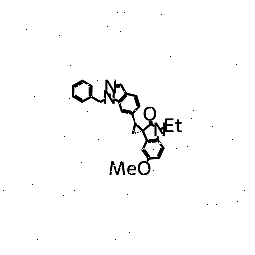 CCN1C(=O)[C@@]2(C[C@H]2c2ccc3cnn(Cc4ccccc4)c3c2)c2cc(OC)ccc21